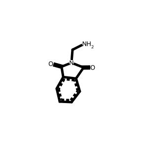 NCN1C(=O)c2ccccc2C1=O